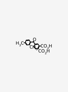 Cc1ccc(C(=O)c2ccc(C(=O)O)c(C(=O)O)c2)c(C)c1